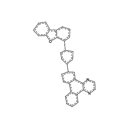 c1ccc2c(c1)oc1c(-c3ccc(-c4ccc5c6ccccc6c6nccnc6c5c4)cc3)cccc12